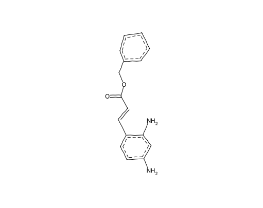 Nc1ccc(/C=C/C(=O)OCc2ccccc2)c(N)c1